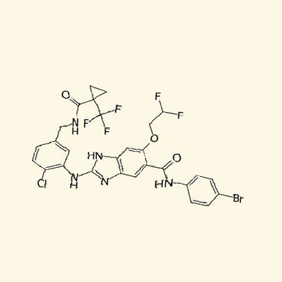 O=C(Nc1ccc(Br)cc1)c1cc2nc(Nc3cc(CNC(=O)C4(C(F)(F)F)CC4)ccc3Cl)[nH]c2cc1OCC(F)F